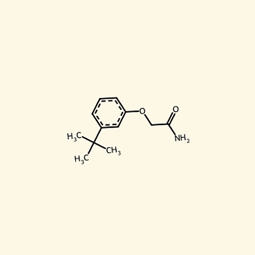 CC(C)(C)c1cccc(OCC(N)=O)c1